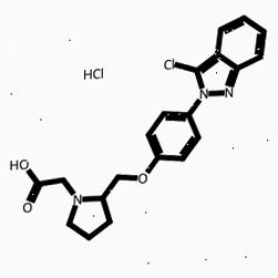 Cl.O=C(O)CN1CCCC1COc1ccc(-n2nc3ccccc3c2Cl)cc1